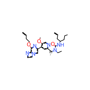 C=CCCOc1nc(-c2cc([C@@H](C)N(CC)C(=O)NC(CC=C)CCC)ncc2OC)cn2ccnc12